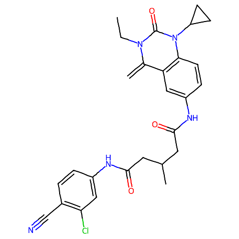 C=C1c2cc(NC(=O)CC(C)CC(=O)Nc3ccc(C#N)c(Cl)c3)ccc2N(C2CC2)C(=O)N1CC